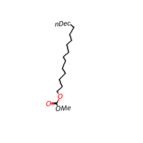 CCCCCCCCCCCCCCCCCCCCCCOC(=O)OC